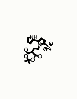 CC1(C)OC(=O)C(CCn2c(-c3ccc[nH]3)ccc2S(C)(=O)=O)C(=O)O1